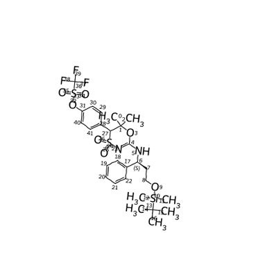 CC1(C)OC(N[C@@H](CCO[Si](C)(C)C(C)(C)C)c2ccccc2)=NS(=O)(=O)C1c1ccc(OS(=O)(=O)C(F)(F)F)cc1